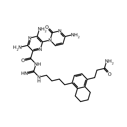 N=C(NCCCCc1ccc(CCC(N)=O)c2c1CCCC2)NC(=O)c1nc(-n2ccc(N)nc2=O)c(N)nc1N